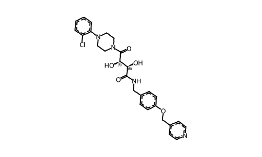 O=C(NCc1ccc(OCc2ccncc2)cc1)[C@H](O)[C@@H](O)C(=O)N1CCN(c2ccccc2Cl)CC1